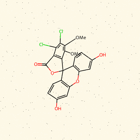 COc1c(Cl)c(Cl)c2c(c1OC)C1(OC2=O)c2ccc(O)cc2Oc2cc(O)ccc21